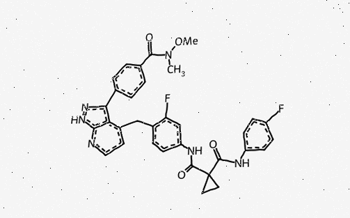 CON(C)C(=O)c1ccc(-c2n[nH]c3nccc(Cc4ccc(NC(=O)C5(C(=O)Nc6ccc(F)cc6)CC5)cc4F)c23)cc1